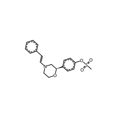 CS(=O)(=O)Oc1ccc([C@@H]2CN(C=Cc3ccccc3)CCO2)cc1